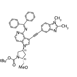 COC[C@H]1C[C@H](n2cc(C#Cc3ccc4c(c3)nc(C)n4C)c3c(N=C(c4ccccc4)c4ccccc4)nccc32)CN1C(=O)OC(C)(C)C